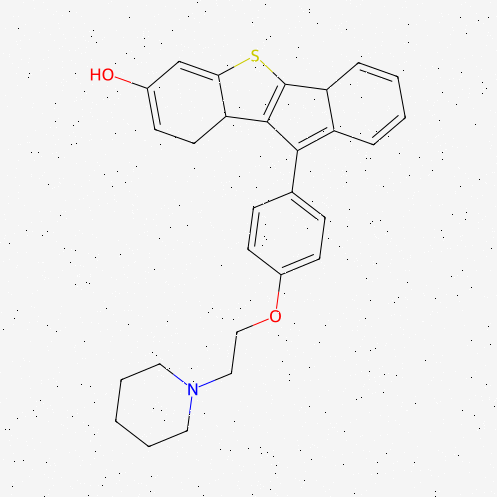 OC1=CCC2C(=C1)SC1=C2C(c2ccc(OCCN3CCCCC3)cc2)=C2C=CC=CC21